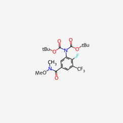 CON(C)C(=O)c1cc(N(C(=O)OC(C)(C)C)C(=O)OC(C)(C)C)c(F)c(C(F)(F)F)c1